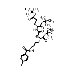 CC(C)(C)OC(=O)CC[C@H](NC(=O)N[C@@H](CCCCNC(=O)c1ccc(F)nc1)C(=O)OC(C)(C)C)C(=O)OC(C)(C)C